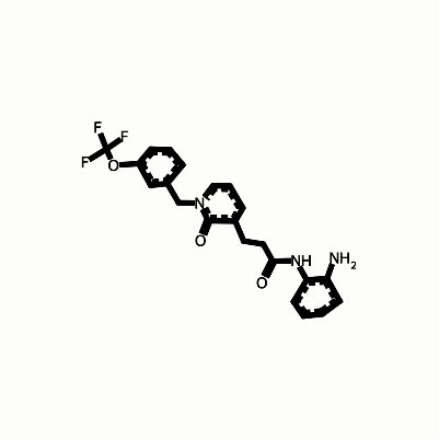 Nc1ccccc1NC(=O)CCc1cccn(Cc2cccc(OC(F)(F)F)c2)c1=O